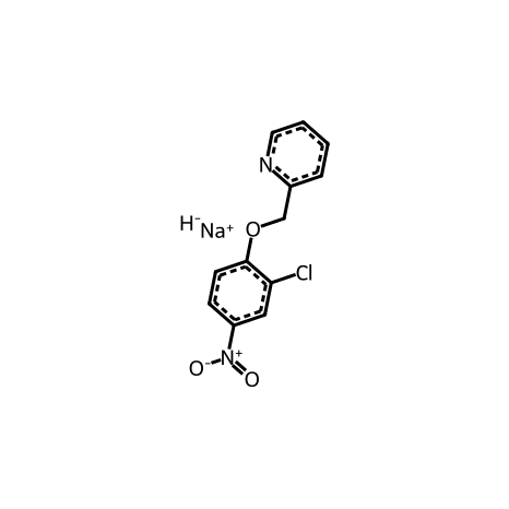 O=[N+]([O-])c1ccc(OCc2ccccn2)c(Cl)c1.[H-].[Na+]